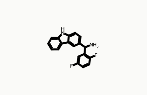 NC(c1ccc2[nH]c3ccccc3c2c1)c1cc(F)ccc1F